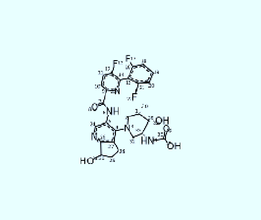 C[C@H]1CN(c2c(NC(=O)c3ccc(F)c(-c4c(F)cccc4F)n3)cnc3c2CCC3O)C[C@@H](NC(=O)O)[C@H]1O